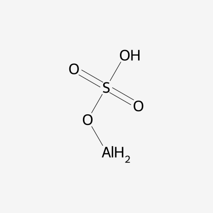 O=S(=O)(O)[O][AlH2]